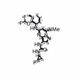 C=N/C(OC(F)F)=C(\C=C/C)Nc1cc(NC)n2ncc(NC(=O)N[C@@H]3C[C@@H]3F)c2n1